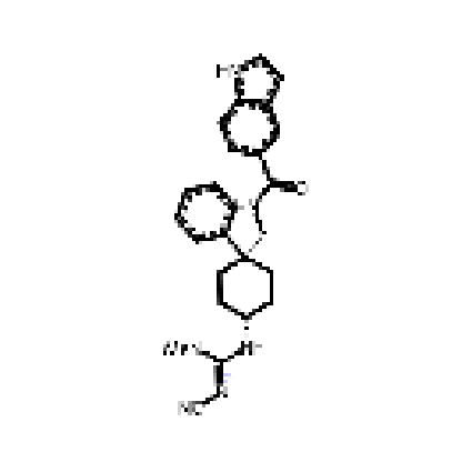 CN/C(=N\C#N)N[C@H]1CC[C@](CNC(=O)c2ccc3[nH]ccc3c2)(c2ccccc2)CC1